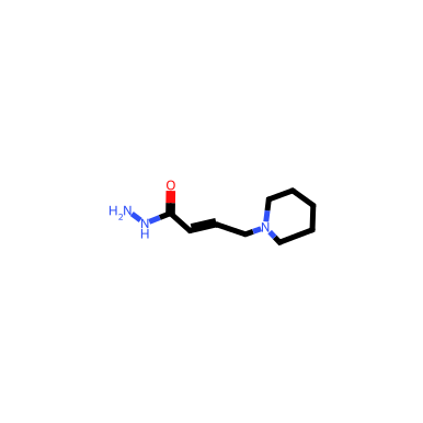 NNC(=O)C=CCN1CCCCC1